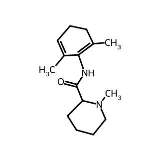 CC1=CCCC(C)=C1NC(=O)C1CCCCN1C